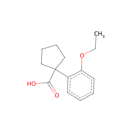 CCOc1ccccc1C1(C(=O)O)CCCC1